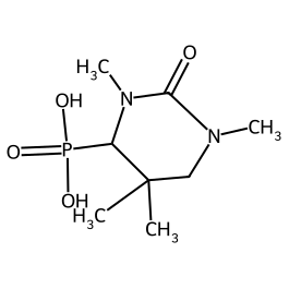 CN1CC(C)(C)C(P(=O)(O)O)N(C)C1=O